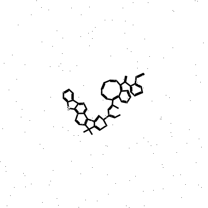 C=Cc1ccccc1C(=C)c1ccccccc(/C(C)=C/C(=C\C)C2C=C3C(=CC2)C(C)(C)c2ccc4c(ccc5c6ccccc6sc45)c23)c2ccccc12